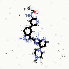 CCCCC(=O)Nc1cncc(-c2ccc3[nH]nc(-c4nc5c(N6CCN(C)CC6)ccnc5[nH]4)c3c2)c1